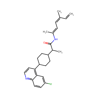 C=C/C(C)=C\C=C(/C)NC(=O)C(C)C1CCC(c2ccnc3ccc(F)cc23)CC1